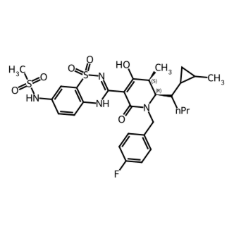 CCCC(C1CC1C)[C@@H]1[C@H](C)C(O)=C(C2=NS(=O)(=O)c3cc(NS(C)(=O)=O)ccc3N2)C(=O)N1Cc1ccc(F)cc1